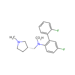 CN1CC[C@@H](CN(C(=O)O)c2ccc(F)cc2-c2ccccc2F)C1